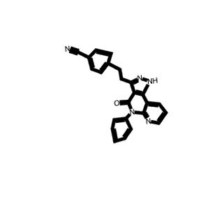 N#Cc1ccc(CCc2n[nH]c3c2c(=O)n(-c2ccccc2)c2ncccc32)cc1